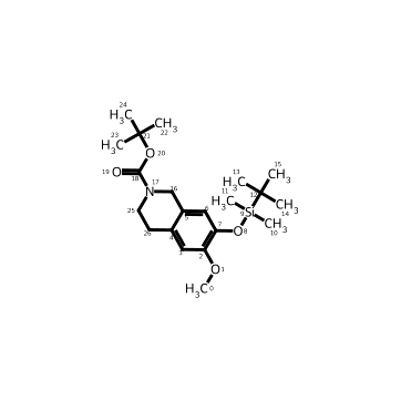 COc1cc2c(cc1O[Si](C)(C)C(C)(C)C)CN(C(=O)OC(C)(C)C)CC2